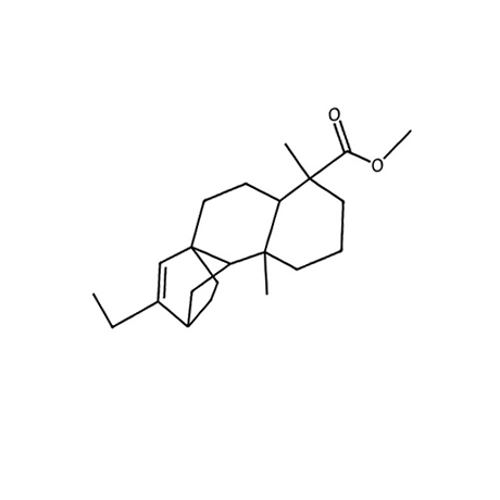 CCC1=CC23CCC1CC2C1(C)CCCC(C)(C(=O)OC)C1CC3